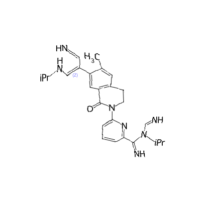 Cc1cc2c(cc1/C(C=N)=C/NC(C)C)C(=O)N(c1cccc(C(=N)N(C=N)C(C)C)n1)CC2